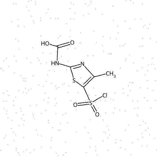 Cc1nc(NC(=O)O)sc1S(=O)(=O)Cl